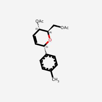 CC(=O)OC[C@H]1O[C@H](c2ccc(C)cc2)C=C[C@@H]1OC(C)=O